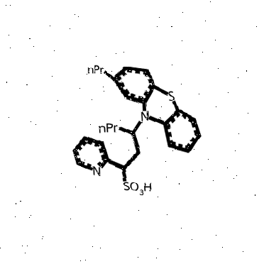 CCCc1ccc2c(c1)N(C(CCC)CC(c1ccccn1)S(=O)(=O)O)c1ccccc1S2